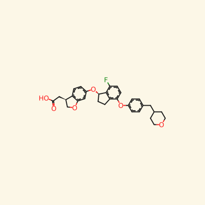 O=C(O)C[C@@H]1COc2cc(O[C@@H]3CCc4c(Oc5ccc(CC6CCOCC6)cc5)ccc(F)c43)ccc21